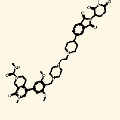 CNC(=O)N1CCc2c(-c3cc(OC)c(CN4CCN(CCN5CCC(c6ccc7c(c6)C(=O)N(C6CCC(=O)NC6=O)C7=O)CC5)CC4)c(OC)c3)cn(C)c(=O)c2C1